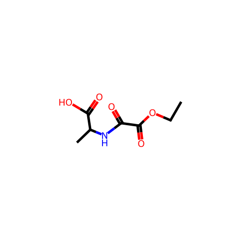 CCOC(=O)C(=O)NC(C)C(=O)O